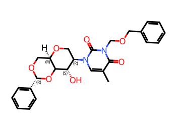 Cc1cn([C@@H]2CO[C@@H]3CO[C@@H](c4ccccc4)OC3[C@H]2O)c(=O)n(COCc2ccccc2)c1=O